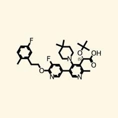 Cc1ccc(F)cc1CCOc1ncc(-c2cnc(C)c([C@H](OC(C)(C)C)C(=O)O)c2N2CCC(C)(C)CC2)cc1F